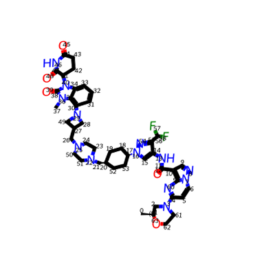 C[C@H]1CN(c2ccn3ncc(C(=O)Nc4cn([C@H]5CC[C@H](CN6CCN(CC7CN(c8cccc9c8n(C)c(=O)n9C8CCC(=O)NC8=O)C7)CC6)CC5)nc4C(F)F)c3n2)CCO1